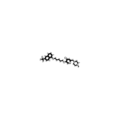 CN1CCN(Cc2cc(=O)c(OCCCCCSc3cccc4cc(C(F)(F)F)ccc34)co2)CC1